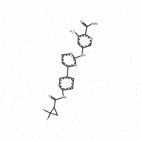 CNC(=O)c1ncc(Nc2nccc(-c3ccc(NC(=O)C4CC4(F)F)cc3)n2)cc1C